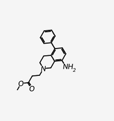 COC(=O)CCN1CCc2c(-c3ccccc3)ccc(N)c2C1